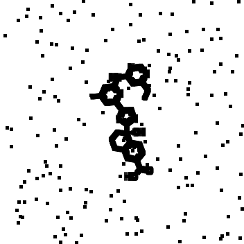 CCc1cc(Nc2cc(C)cc(-c3cnc([C@]4(O)CCCc5cc(C(=O)O)ccc54)s3)n2)ncn1